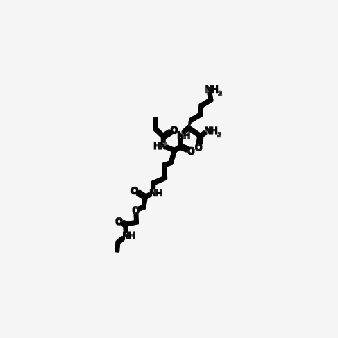 CCNC(=O)COCC(=O)NCCCCC(NC(=O)CC)C(=O)N[C@H](CCCCN)C(N)=O